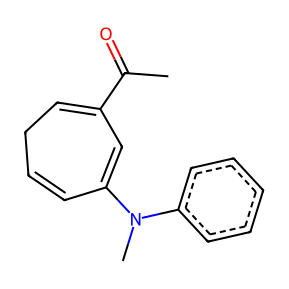 CC(=O)C1=CCC=CC(N(C)c2ccccc2)=C1